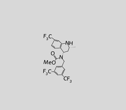 COC(=O)N(Cc1cc(C(F)(F)F)cc(C(F)(F)F)c1)[C@H]1C[C@@H](C)Nc2cc(C(F)(F)F)ccc21